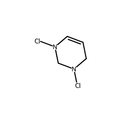 ClN1C=CCN(Cl)C1